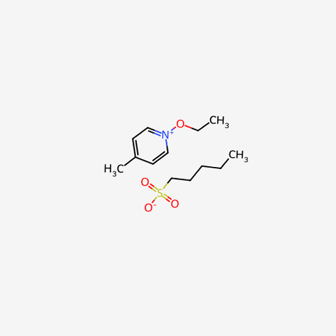 CCCCCS(=O)(=O)[O-].CCO[n+]1ccc(C)cc1